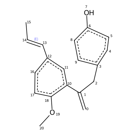 C=C(Cc1ccc(O)cc1)c1cc(/C=C/C)ccc1OC